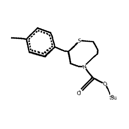 Cc1ccc(C2CN(C(=O)OC(C)(C)C)CCS2)cc1